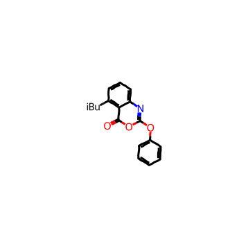 CCC(C)c1cccc2nc(Oc3ccccc3)oc(=O)c12